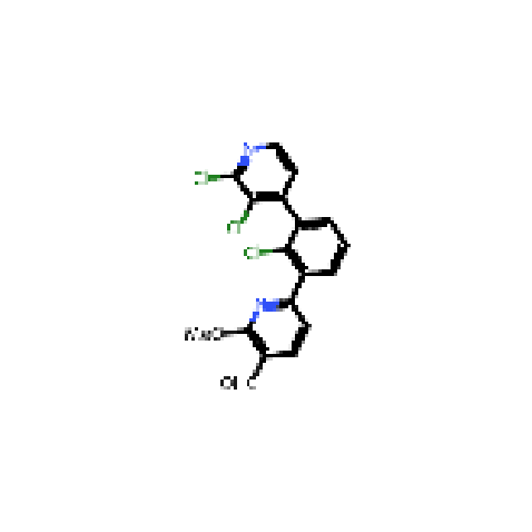 COc1nc(-c2cccc(-c3ccnc(Cl)c3Cl)c2Cl)ccc1C=O